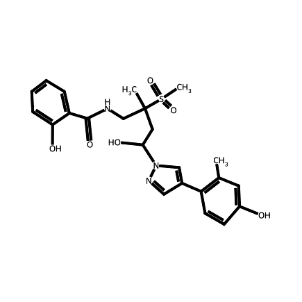 Cc1cc(O)ccc1-c1cnn(C(O)CC(C)(CNC(=O)c2ccccc2O)S(C)(=O)=O)c1